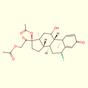 CC(=O)OCC(=O)[C@@]1(OC(C)=O)CC[C@H]2[C@@H]3C[C@H](F)C4=CC(=O)C=C[C@]4(C)[C@H]3C(O)C[C@@]21C